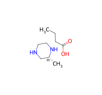 CCCC(=O)O.C[C@@H]1CNCCN1